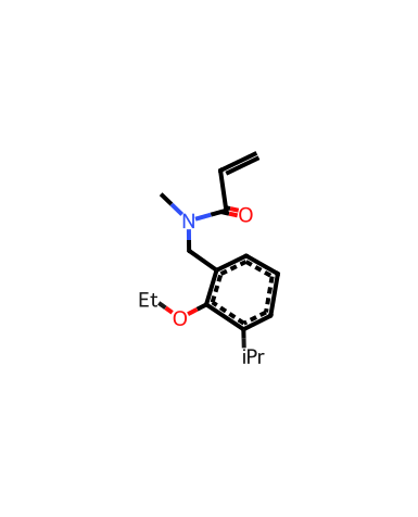 C=CC(=O)N(C)Cc1cccc(C(C)C)c1OCC